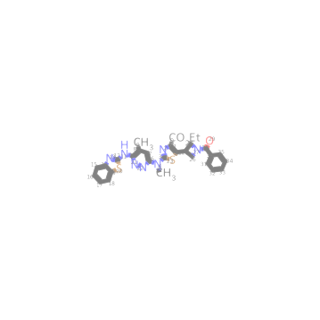 CCOC(=O)c1nc(N(C)c2cc(C)c(Nc3nc4ccccc4s3)nn2)sc1C1CN(C(=O)c2ccccc2)C1